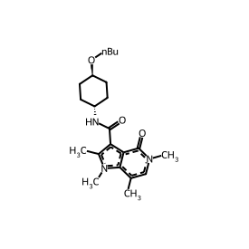 CCCCO[C@H]1CC[C@H](NC(=O)c2c(C)n(C)c3c(C)cn(C)c(=O)c23)CC1